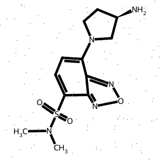 CN(C)S(=O)(=O)c1ccc(N2CC[C@@H](N)C2)c2nonc12